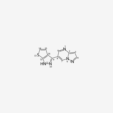 [c]1nc2ccnn2cc1-c1n[nH]c2sccc12